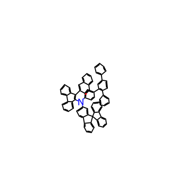 c1ccc(-c2ccc(-c3ccccc3)c(-c3ccc(N(c4ccc5c(c4)C4(c6ccccc6-c6ccccc64)c4ccccc4-5)c4c(-c5ccc6ccccc6c5)c5ccccc5c5ccccc45)cc3)c2)cc1